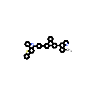 Cc1cccc2c(-c3ccc4c5ccc(-c6ccc(-c7nc8ccccc8c8c7ccc7c9ccccc9sc78)cc6)cc5c5ccccc5c4c3)cc3cccnc3c12